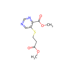 COC(=O)CCSc1cncnc1C(=O)OC